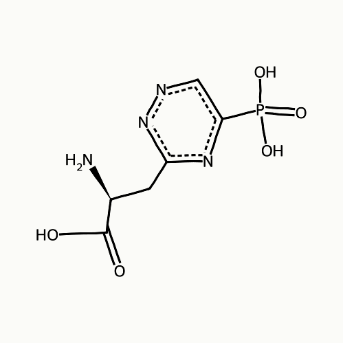 N[C@@H](Cc1nncc(P(=O)(O)O)n1)C(=O)O